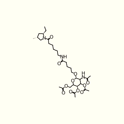 CC[C@@H]1C[C@@H](C)CN1C(=O)CCCCCNC(=O)CCCCO[C@@H]1OC(COC(C)=O)[C@H](OC(C)=O)C(OC(C)=O)C1NC(C)=O